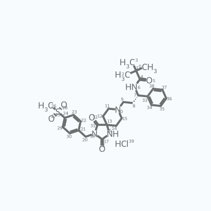 CC(C)(C)C(=O)N[C@@H](CCN1CCC2(CC1)NC(=O)N(Cc1ccc(S(C)(=O)=O)cc1)C2=O)c1ccccc1.Cl